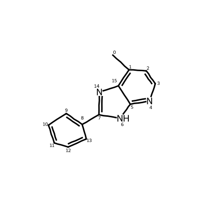 Cc1ccnc2[nH]c(-c3ccccc3)nc12